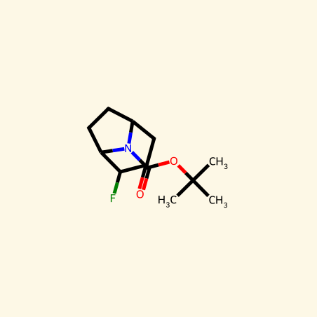 CC(C)(C)OC(=O)N1C2CCC(F)C1CC2